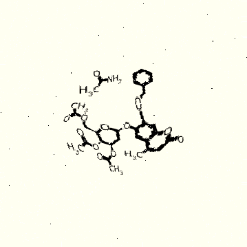 CC(=O)OC[C@H]1O[C@@H](Oc2cc3c(C)cc(=O)oc3cc2OCc2ccccc2)C[C@@H](OC(C)=O)[C@@H]1OC(C)=O.CC(N)=O